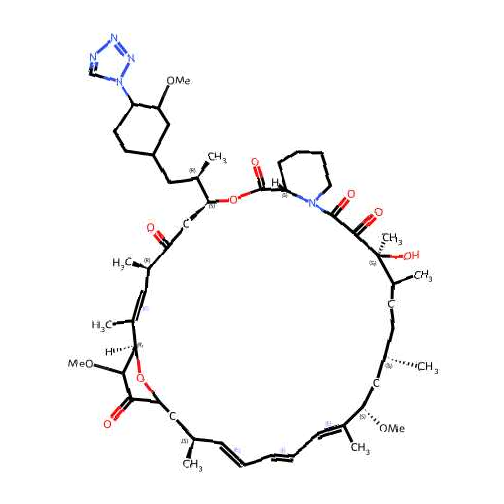 COC1CC(C[C@@H](C)[C@@H]2CC(=O)[C@H](C)/C=C(\C)[C@H]3OC(C[C@H](C)/C=C/C=C/C=C(\C)[C@@H](OC)C[C@@H](C)CCC(C)[C@](C)(O)C(=O)C(=O)N4CCCC[C@H]4C(=O)O2)C(=O)C3OC)CCC1n1cnnn1